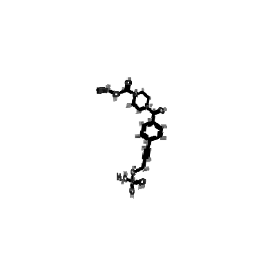 CC(C)(C)OC(=O)N1CCN(C(=O)c2ccc(C#CCOS(C)(=O)=O)cc2)CC1